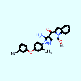 CCOCn1c(C(=O)c2cnn(-c3ccc(Oc4cccc(C#N)c4)cc3C)c2N)cc2ccccc21